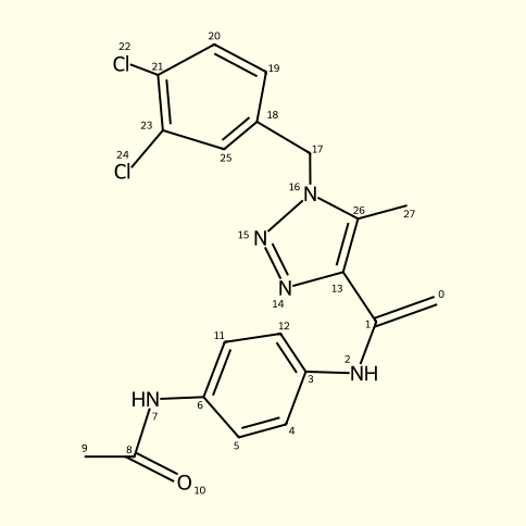 C=C(Nc1ccc(NC(C)=O)cc1)c1nnn(Cc2ccc(Cl)c(Cl)c2)c1C